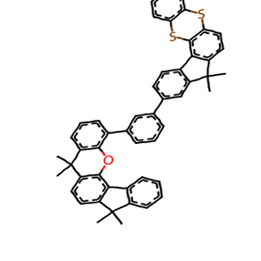 CC1(C)c2cccc(-c3cccc(-c4ccc5c(c4)C(C)(C)c4ccc6c(c4-5)Sc4ccccc4S6)c3)c2Oc2c1ccc1c2-c2ccccc2C1(C)C